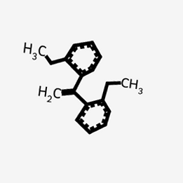 C=C(c1ccccc1CC)c1ccccc1CC